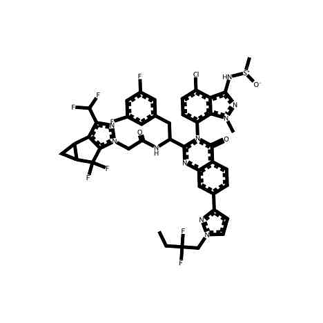 CCC(F)(F)Cn1ccc(-c2ccc3c(=O)n(-c4ccc(Cl)c5c(N[S+](C)[O-])nn(C)c45)c(C(Cc4cc(F)cc(F)c4)NC(=O)Cn4nc(C(F)F)c5c4C(F)(F)C4CC54)nc3c2)n1